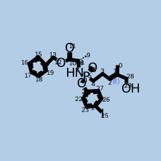 C/C(=C\CCP(=O)(N[C@@H](C)C(=O)OCc1ccccc1)Oc1ccc(I)cc1)CO